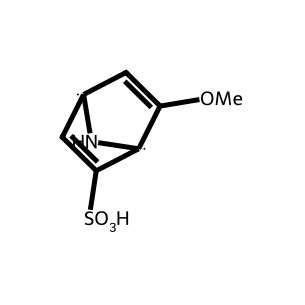 COC1=C[C]2C=C(S(=O)(=O)O)[C]1N2